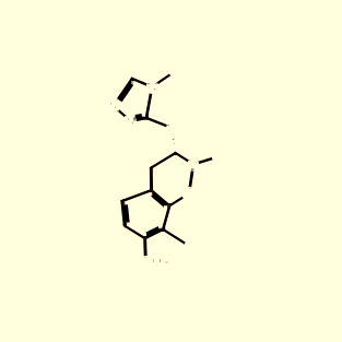 COc1ccc2c(c1C(=O)O)OB(O)[C@@H](Sc1nncn1C)C2